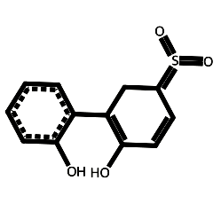 O=S(=O)=C1C=CC(O)=C(c2ccccc2O)C1